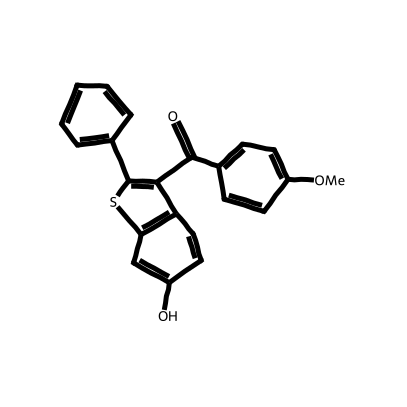 COc1ccc(C(=O)c2c(-c3ccccc3)sc3cc(O)ccc23)cc1